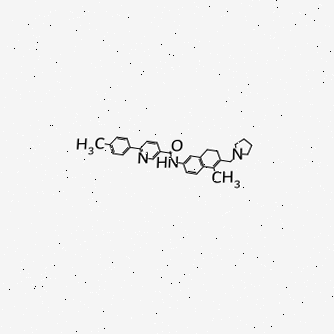 CC1=C(CN2CCCC2)CCc2cc(NC(=O)c3ccc(-c4ccc(C)cc4)nc3)ccc21